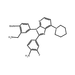 CNc1ccc(-n2c(-c3ccc(N)c(F)c3)nc3c(N4CCCCC4)ccnc32)cc1CN